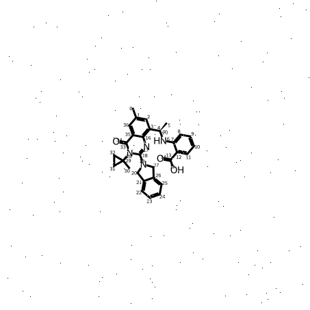 Cc1cc([C@@H](C)Nc2ccccc2C(=O)O)c2nc(N3Cc4ccccc4C3)n(C3(C)CC3)c(=O)c2c1